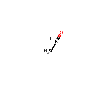 O=B[SiH3].[Ti]